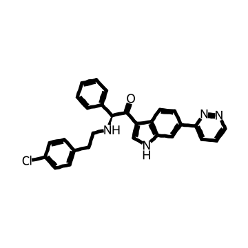 O=C(c1c[nH]c2cc(-c3cccnn3)ccc12)[C@@H](NCCc1ccc(Cl)cc1)c1ccccc1